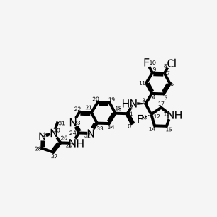 C=C(N[C@@H](c1ccc(Cl)c(F)c1)[C@]1(F)CCNC1)c1ccc2cnc(Nc3ccnn3C)nc2c1